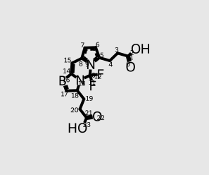 O=C(O)CCc1ccc2n1C(F)(F)N1C(=C2)B=CC1CCC(=O)O